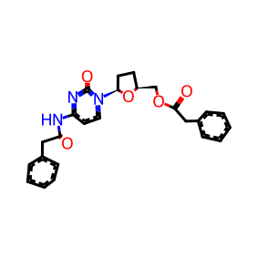 O=C(Cc1ccccc1)Nc1ccn([C@H]2CC[C@@H](COC(=O)Cc3ccccc3)O2)c(=O)n1